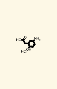 Cl.Nc1ccc(O)c(CC(=O)O)c1